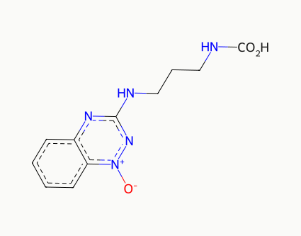 O=C(O)NCCCNc1nc2ccccc2[n+]([O-])n1